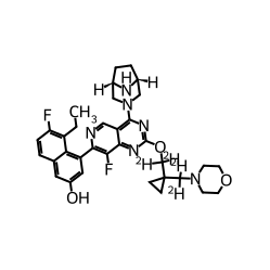 [2H]C([2H])(Oc1nc(N2C[C@H]3CC[C@@H](C2)N3)c2cnc(-c3cc(O)cc4ccc(F)c(CC)c34)c(F)c2n1)C1(C([2H])([2H])N2CCOCC2)CC1